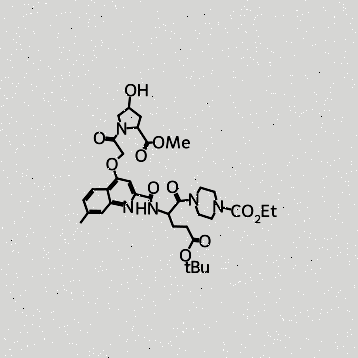 CCOC(=O)N1CCN(C(=O)C(CCC(=O)OC(C)(C)C)NC(=O)c2cc(OCC(=O)N3CC(O)CC3C(=O)OC)c3ccc(C)cc3n2)CC1